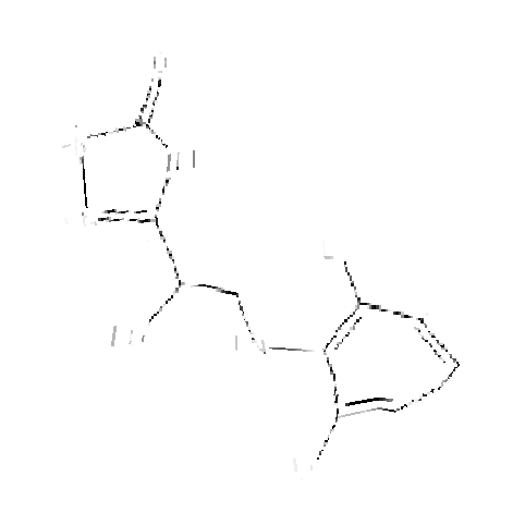 CCc1cccc(CC)c1NCC(O)c1n[nH]c(=O)[nH]1